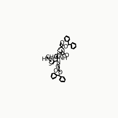 C=CC1(C(=O)OC(c2ccccc2)c2ccccc2)CS[C@@H]2C(NC(=O)C(=NOCC(=O)OC(c3ccccc3)c3ccccc3)c3csc(NC=O)n3)C(=O)N2C1